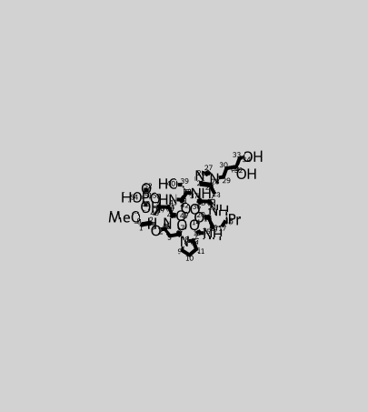 COCCOCCC(=O)N1CCC[C@H]1C(=O)N[C@@H](CC(C)C)C(=O)N[C@@H](Cc1cncn1CC[C@H](O)CO)C(=O)N[C@@H](CO)C(=O)N[C@H](C(N)=O)[C@@H](C)OP(=O)(O)O